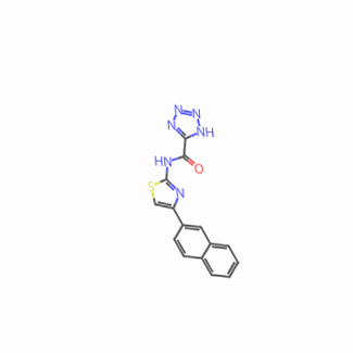 O=C(Nc1nc(-c2ccc3ccccc3c2)cs1)c1nnn[nH]1